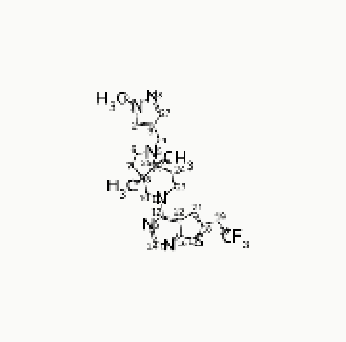 Cn1cc(CN2CC[C@@]3(C)CN(c4ncnc5sc(CC(F)(F)F)cc45)CC[C@@]23C)cn1